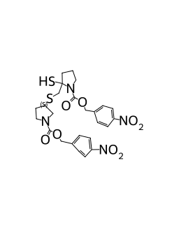 O=C(OCc1ccc([N+](=O)[O-])cc1)N1CC[C@H](SCC2(S)CCCN2C(=O)OCc2ccc([N+](=O)[O-])cc2)C1